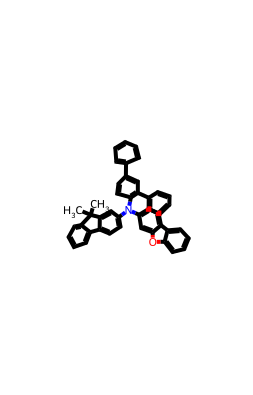 CC1(C)c2ccccc2-c2ccc(N(c3ccc4c(c3)oc3ccccc34)c3ccc(-c4ccccc4)cc3-c3ccccc3)cc21